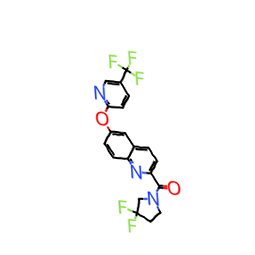 O=C(c1ccc2cc(Oc3ccc(C(F)(F)F)cn3)ccc2n1)N1CCC(F)(F)C1